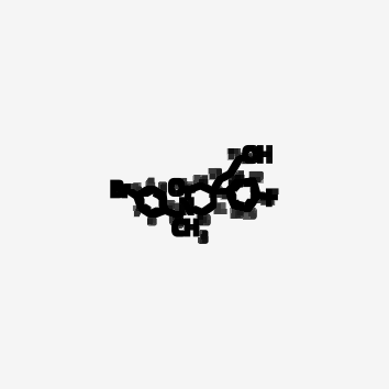 C[C@@H](c1ccc(Br)cc1)N1CCC(CCCO)(c2ccc(F)cc2)CC1=O